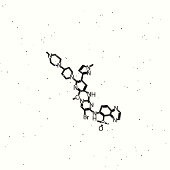 COc1nc(N2CCC(N3CCN(C)CC3)CC2)c(-c2ccn(C)n2)cc1Nc1ncc(Br)c(Nc2ccc3nccnc3c2P(C)(C)=O)n1